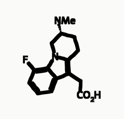 CN[C@@H]1CCc2c(CC(=O)O)c3cccc(F)c3n2C1